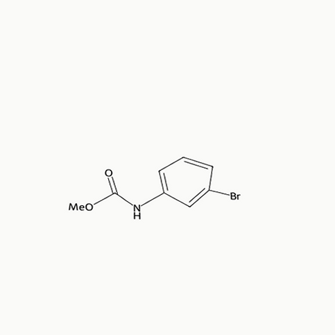 COC(=O)Nc1cccc(Br)c1